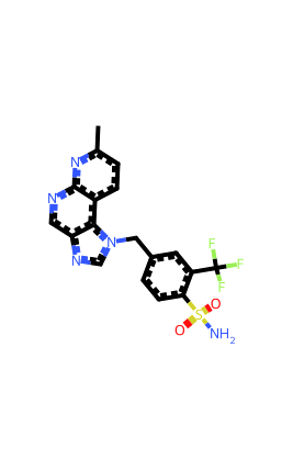 Cc1ccc2c(ncc3ncn(Cc4ccc(S(N)(=O)=O)c(C(F)(F)F)c4)c32)n1